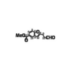 COC(=O)c1ccc2oc(CCC=O)cc2c1